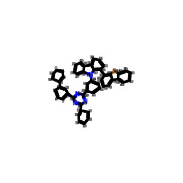 c1ccc(-c2cccc(-c3nc(-c4ccccc4)nc(-c4cccc(-n5c6ccccc6c6cccc(-c7cccc8c7sc7ccccc78)c65)c4)n3)c2)cc1